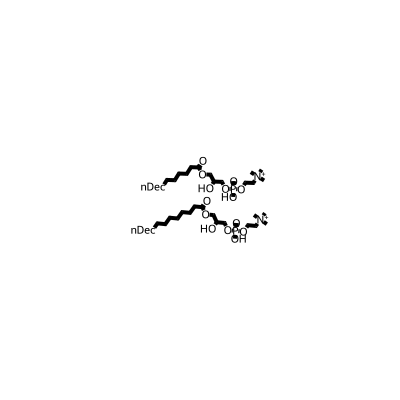 CCCCCCCCCCCCCCCC(=O)OCC(O)COP(=O)(O)OCC[N+](C)(C)C.CCCCCCCCCCCCCCCCCC(=O)OCC(O)COP(=O)(O)OCC[N+](C)(C)C